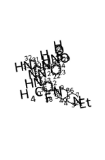 C.CCN1CCC2(CC1)CCN(c1ccc(Nc3nc(Nc4ccccc4N[SH](=O)=O)c4cc[nH]c4n3)cc1F)CC2